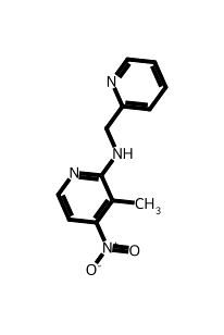 Cc1c([N+](=O)[O-])ccnc1NCc1ccccn1